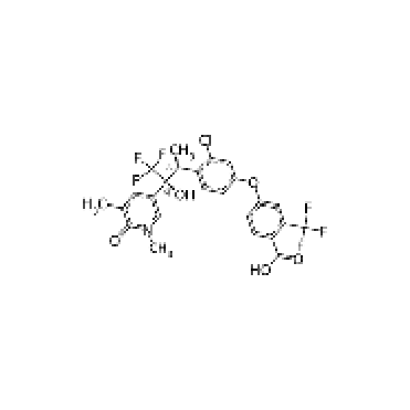 Cc1cc([C@@](O)([C@@H](C)c2ccc(Oc3ccc(C(=O)O)c(C(F)(F)F)c3)cc2Cl)C(F)(F)F)cn(C)c1=O